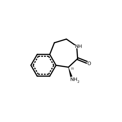 N[C@@H]1C(=O)NCCc2ccccc21